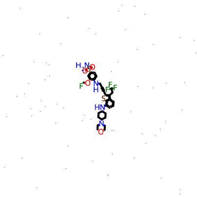 NS(=O)(=O)c1ccc(NCC#Cc2sc3c(NC4CCC(N5CCOCC5)CC4)cccc3c2CC(F)(F)F)c(OCF)c1